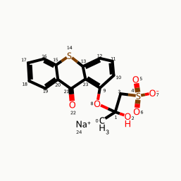 CC(O)(CS(=O)(=O)[O-])Oc1cccc2sc3ccccc3c(=O)c12.[Na+]